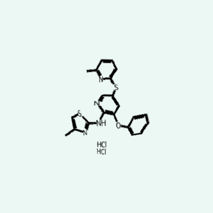 Cc1cccc(Sc2cnc(Nc3nc(C)cs3)c(Oc3ccccc3)c2)n1.Cl.Cl